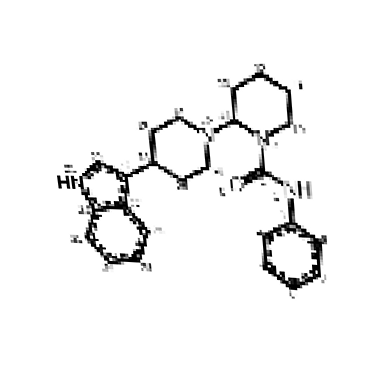 O=C(Nc1ccccc1)N1CC[CH]CC1N1CCC(c2c[nH]c3ccccc23)CC1